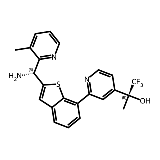 Cc1cccnc1[C@@H](N)c1cc2cccc(-c3cc([C@@](C)(O)C(F)(F)F)ccn3)c2s1